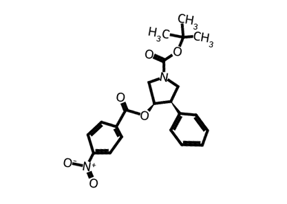 CC(C)(C)OC(=O)N1C[C@H](OC(=O)c2ccc([N+](=O)[O-])cc2)[C@H](c2ccccc2)C1